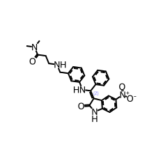 CN(C)C(=O)CCNCc1cccc(N/C(=C2\C(=O)Nc3ccc([N+](=O)[O-])cc32)c2ccccc2)c1